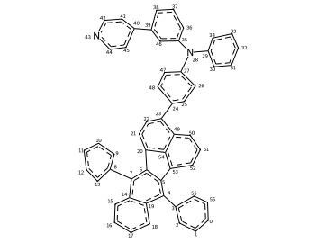 c1ccc(-c2c3c(c(-c4ccccc4)c4ccccc24)-c2ccc(-c4ccc(N(c5ccccc5)c5cccc(-c6ccncc6)c5)cc4)c4cccc-3c24)cc1